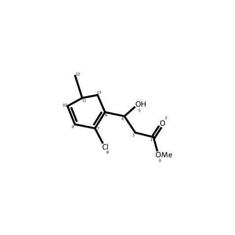 COC(=O)CC(O)C1=C(Cl)C=CC(C)C1